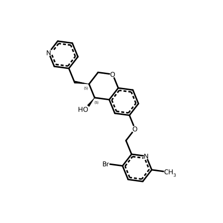 Cc1ccc(Br)c(COc2ccc3c(c2)[C@@H](O)[C@@H](Cc2cccnc2)CO3)n1